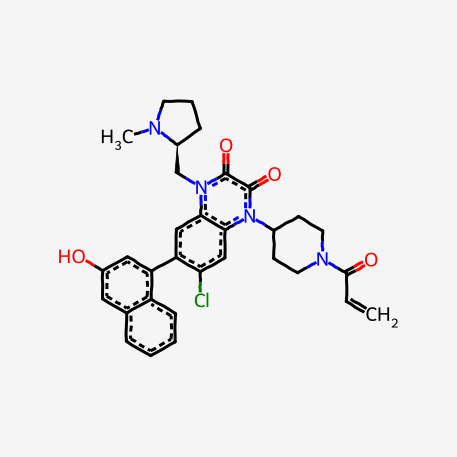 C=CC(=O)N1CCC(n2c(=O)c(=O)n(C[C@@H]3CCCN3C)c3cc(-c4cc(O)cc5ccccc45)c(Cl)cc32)CC1